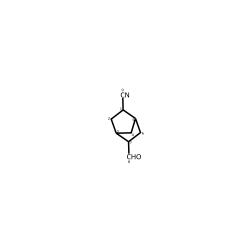 N#CC1CC2CC1CC2C=O